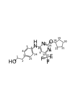 OCCc1ccc(Nc2cc(C(F)(F)F)nc(OC3CCCC3)n2)cc1